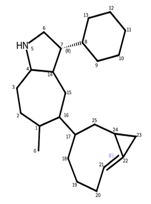 CC1CCC2NC[C@H](C3CCCCC3)C2CC1C1CCC/C=C2\CC2C1